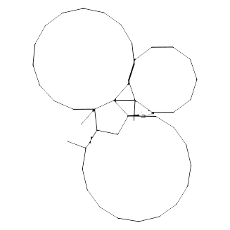 CC1CCCCCCCCCCCCC2(S)CC1(I)C1(C)CCCCCCCCCCCCCC21C1(C)CCCCCCCCC1